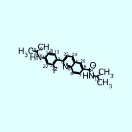 CC(C)NC(=O)c1ccc2nc(-c3ccc(NC(C)C)cc3F)ccc2c1